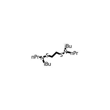 CCCN(SCCSN(CCC)C(C)CC)C(C)CC